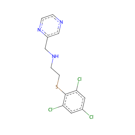 Clc1cc(Cl)c(SCCNCc2cnccn2)c(Cl)c1